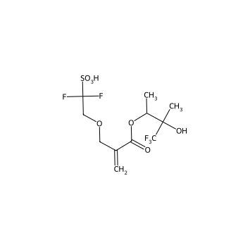 C=C(COCC(F)(F)S(=O)(=O)O)C(=O)OC(C)C(C)(O)C(F)(F)F